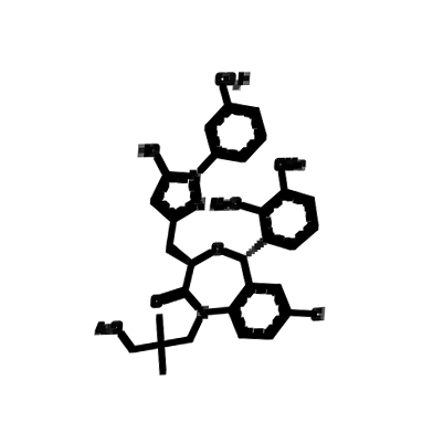 COc1cccc([C@H]2O[C@H](Cc3cc(O)n(-c4cccc(C(=O)O)c4)n3)C(=O)N(CC(C)(C)COC(C)=O)c3ccc(Cl)cc32)c1OC